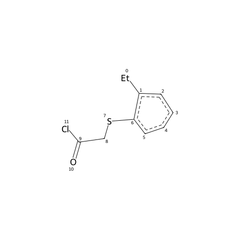 CCc1ccccc1SCC(=O)Cl